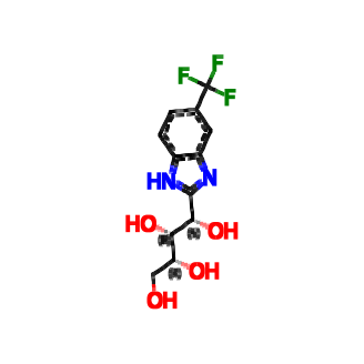 OC[C@@H](O)[C@H](O)[C@@H](O)c1nc2cc(C(F)(F)F)ccc2[nH]1